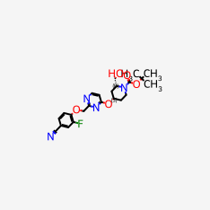 CC(C)(C)OC(=O)N1CC[C@H](Oc2ccnc(COc3ccc(C#N)cc3F)n2)C[C@@H]1CO